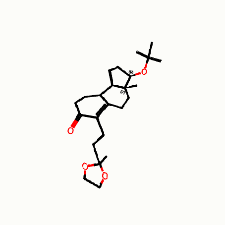 CC(C)(C)O[C@@H]1CCC2C3CCC(=O)C(CCC4(C)OCCO4)=C3CC[C@]21C